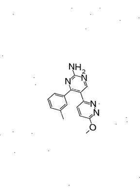 COc1ccc(-c2cnc(N)nc2-c2cccc(C)c2)nn1